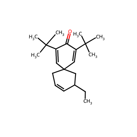 CCC1C=CCC2(C=C(C(C)(C)C)C(=O)C(C(C)(C)C)=C2)C1